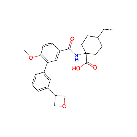 CCC1CCC(NC(=O)c2ccc(OC)c(-c3cccc(C4COC4)c3)c2)(C(=O)O)CC1